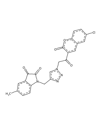 Cc1ccc2c(c1)C(=O)C(=O)N2Cc1cn(CC(=O)c2cc3cc(Cl)ccc3oc2=O)nn1